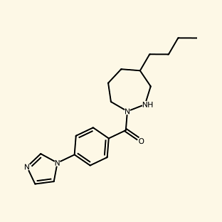 CCCCC1CCCN(C(=O)c2ccc(-n3ccnc3)cc2)NC1